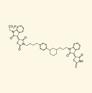 O=C(O)CN1C(=O)/C(=C2\SC(=O)N(CCCCc3ccc(C4CCCC(CCCN5C(=O)/C(=C6\SC(=S)NC6=O)c6ccccc65)C4)cc3)C2=O)c2ccccc21